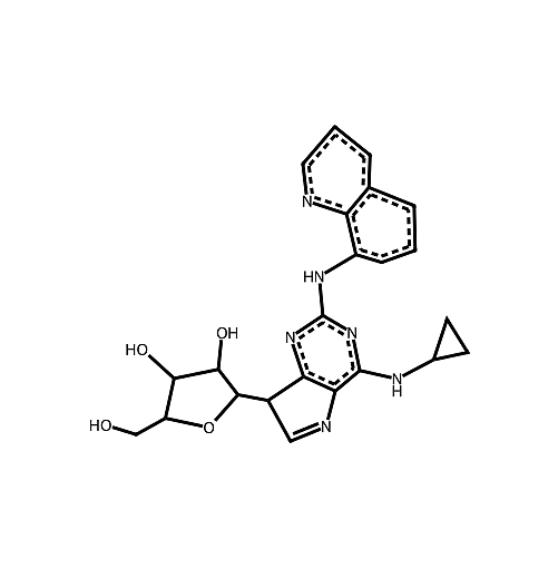 OCC1OC(C2C=Nc3c(NC4CC4)nc(Nc4cccc5cccnc45)nc32)C(O)C1O